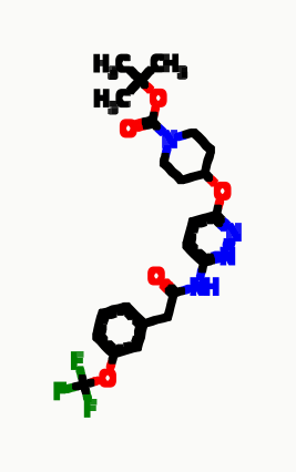 CC(C)(C)OC(=O)N1CCC(Oc2ccc(NC(=O)Cc3cccc(OC(F)(F)F)c3)nn2)CC1